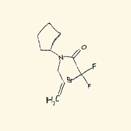 C=CCN(C(=O)C(F)(F)Br)C1CCCC1